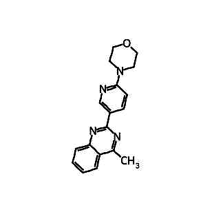 Cc1nc(-c2ccc(N3CCOCC3)nc2)nc2ccccc12